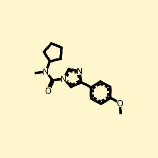 COc1ccc(-c2cn(C(=O)N(C)C3CCCC3)cn2)cc1